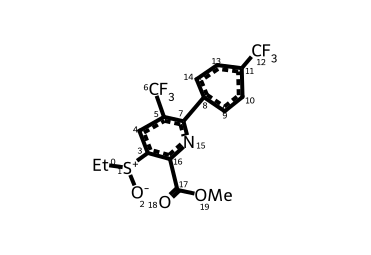 CC[S+]([O-])c1cc(C(F)(F)F)c(-c2ccc(C(F)(F)F)cc2)nc1C(=O)OC